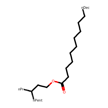 CCCCCCCCCCCCCCCCCCCC(=O)OCCC(CCC)CCCCC